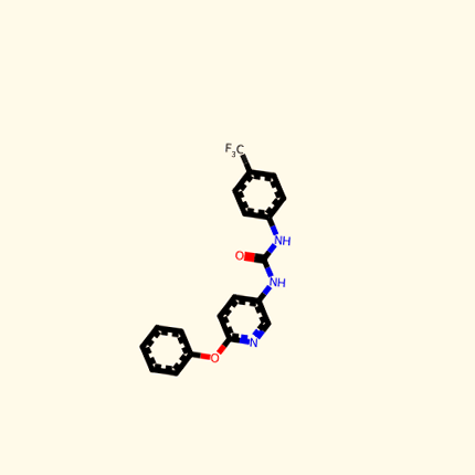 O=C(Nc1ccc(C(F)(F)F)cc1)Nc1ccc(Oc2ccccc2)nc1